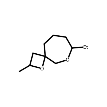 CCC1CCCC2(CO1)CC(C)O2